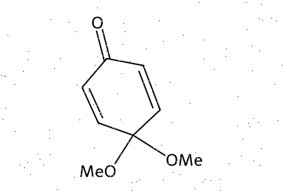 COC1(OC)C=CC(=O)C=C1